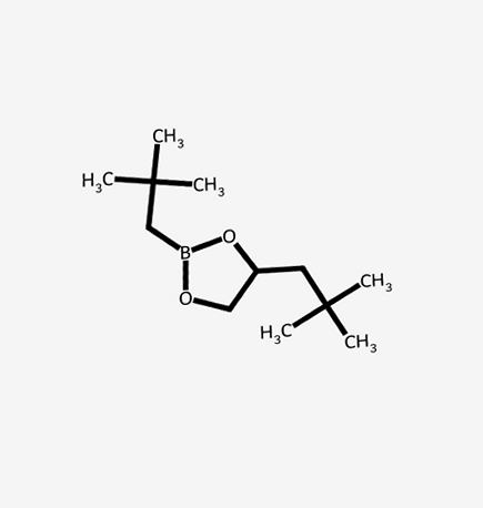 CC(C)(C)CB1OCC(CC(C)(C)C)O1